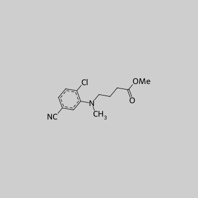 COC(=O)CCCN(C)c1cc(C#N)ccc1Cl